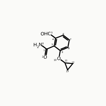 NC(=O)c1c(C=O)cccc1OC1CC1